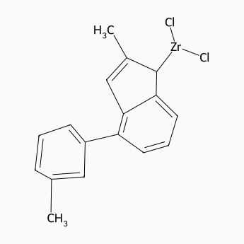 CC1=Cc2c(-c3cccc(C)c3)cccc2[CH]1[Zr]([Cl])[Cl]